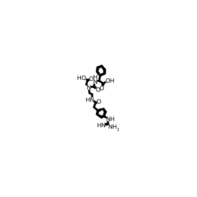 N=C(N)Nc1ccc(CC(=O)NCCN(CC(=O)O)C(=O)NC(C(=O)O)c2ccccc2)cc1